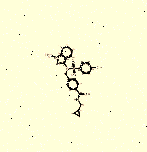 Cn1nc(N(Cc2ccc(C(=O)NCC3CC3)cc2)S(=O)(=O)c2ccc(Cl)cc2)c2cccnc21